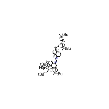 C=C1/C(=C\C=C2/CCC[C@]3(C)[C@@H]([C@H](C)CC[C@@H](O[Si](C)(C)C(C)(C)C)C(C)(C)O[Si](C)(C)C(C)(C)C)CC[C@@H]23)C[C@@H](O[Si](C)(C)C(C)(C)C)[C@@H](OC(CCC(C)(C)C)O[SiH](C)C)[C@@H]1O[Si](C)(C)C(C)(C)C